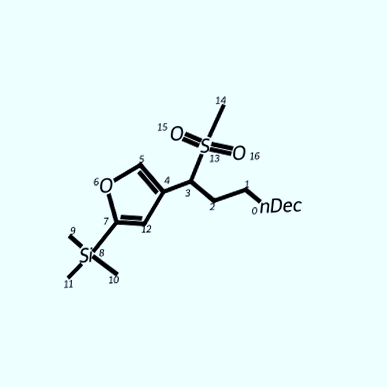 CCCCCCCCCCCCC(c1coc([Si](C)(C)C)c1)S(C)(=O)=O